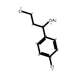 CC(=O)OC(CCCl)c1ccc(Cl)cc1